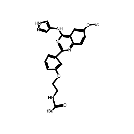 CCOc1ccc2nc(-c3cccc(OCCNC(=O)C(C)(C)C)c3)nc(Nc3cn[nH]c3)c2c1